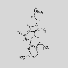 CCCCOc1ncc(C(=O)O)cc1-c1nc2c(CC)n(CCOC)nc2c(=O)[nH]1